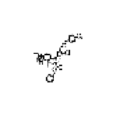 CCn1nnc2c(F)c([C@@H](c3cc(COCc4ccc(OC)cc4)c(Cl)s3)C(C)(C)C(=O)OCc3ccccc3)ccc21